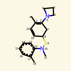 CC1=C(N2CCC2)C[C@@H](SN(C)c2ccccc2C)C=C1